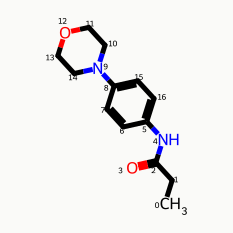 CCC(=O)Nc1ccc(N2CCOCC2)cc1